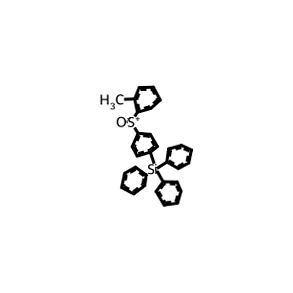 Cc1ccccc1[S+]([O-])c1ccc([Si](c2ccccc2)(c2ccccc2)c2ccccc2)cc1